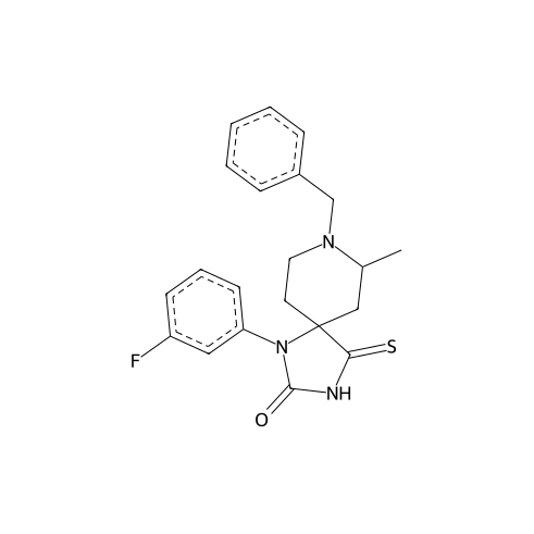 CC1CC2(CCN1Cc1ccccc1)C(=S)NC(=O)N2c1cccc(F)c1